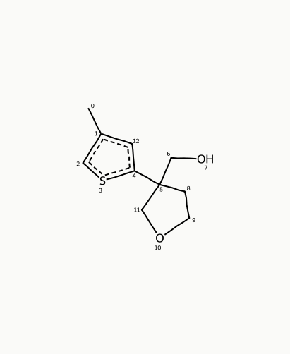 Cc1csc(C2(CO)CCOC2)c1